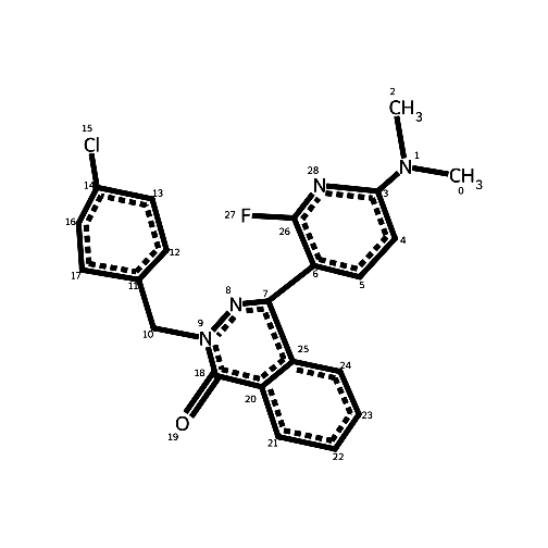 CN(C)c1ccc(-c2nn(Cc3ccc(Cl)cc3)c(=O)c3ccccc23)c(F)n1